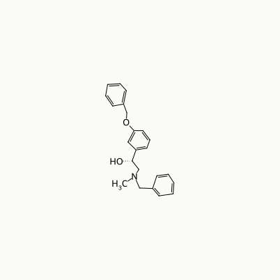 CN(Cc1ccccc1)C[C@H](O)c1cccc(OCc2ccccc2)c1